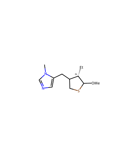 CC[C@H]1C(Cc2cncn2C)CSC1OC